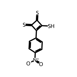 O=[N+]([O-])c1ccc(-c2c(S)c(=S)c2=S)cc1